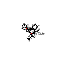 COC(=O)c1cc(F)c2nc(N3C4CC(NCc5c(-c6ccccc6C(F)(F)F)noc5C5CC5)CC3C4)sc2c1